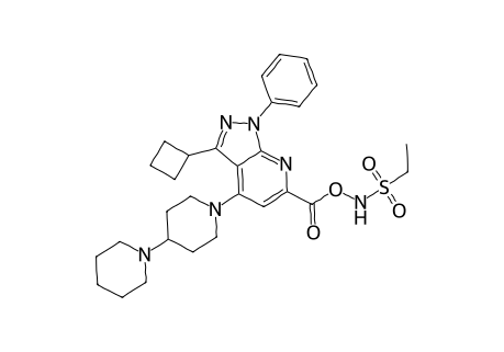 CCS(=O)(=O)NOC(=O)c1cc(N2CCC(N3CCCCC3)CC2)c2c(C3CCC3)nn(-c3ccccc3)c2n1